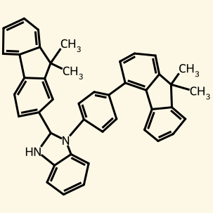 CC1(C)c2ccccc2-c2ccc(C3Nc4ccccc4N3c3ccc(-c4cccc5c4-c4ccccc4C5(C)C)cc3)cc21